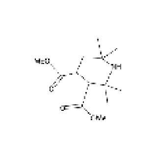 COC(=O)C1CC(C)(C)NC(C)(C)C1C(=O)OC